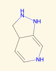 C1=CC2CNNC2=CN1